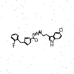 O=C(N=[N+]=NCCc1c[nH]c2ccc(Cl)cc12)c1ccc(Cc2ccccc2F)cc1